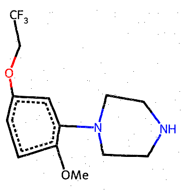 COc1ccc(OCC(F)(F)F)cc1N1CCNCC1